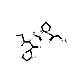 CC[C@H](C)[C@H](NC(=O)[C@@H]1CCCN1C(=O)CN)C(=O)C1NCCS1